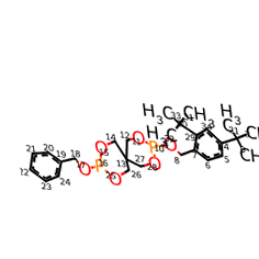 CC(C)(C)c1ccc(COP2OCC3(COP(OCc4ccccc4)OC3)CO2)c(C(C)(C)C)c1